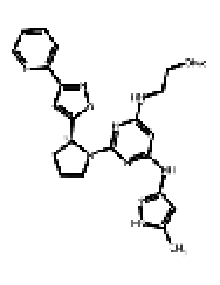 COCCNc1cc(Nc2cc(C)[nH]n2)nc(N2CCC[C@H]2c2cc(-c3ccccn3)no2)n1